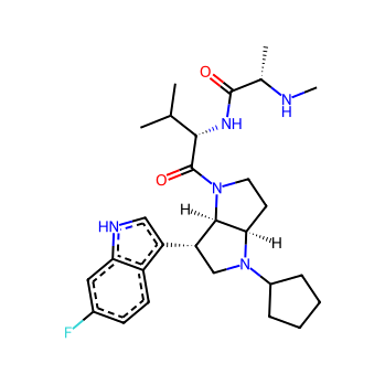 CN[C@@H](C)C(=O)N[C@H](C(=O)N1CC[C@@H]2[C@H]1[C@@H](c1c[nH]c3cc(F)ccc13)CN2C1CCCC1)C(C)C